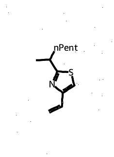 C=Cc1csc(C(C)CCCCC)n1